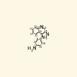 Nc1ccc(-n2cnc3cnc4ccccc4c32)cc1